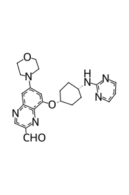 O=Cc1cnc2cc(N3CCOCC3)cc(O[C@H]3CC[C@@H](Nc4ncccn4)CC3)c2n1